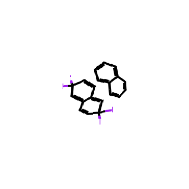 IC1(I)C=CC2=CC(I)(I)C=CC2=C1.c1ccc2ccccc2c1